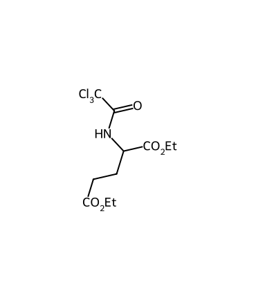 CCOC(=O)CCC(NC(=O)C(Cl)(Cl)Cl)C(=O)OCC